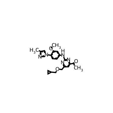 COc1cc(Nc2nc(COCC3CC3)cc(C(C)=O)n2)ccc1-n1cnc(C)c1